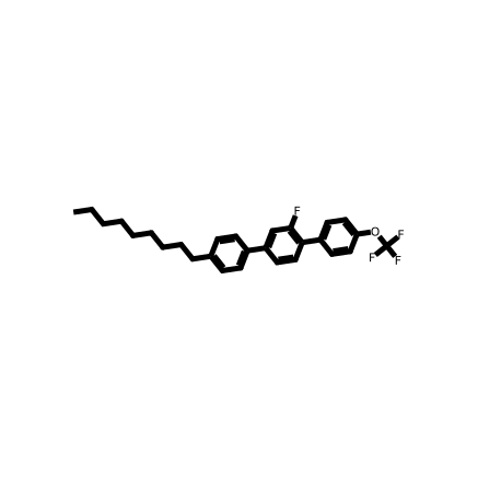 CCCCCCCCCc1ccc(-c2ccc(-c3ccc(OC(F)(F)F)cc3)c(F)c2)cc1